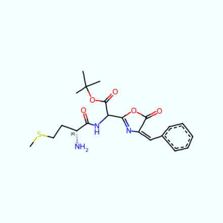 CSCC[C@@H](N)C(=O)NC(C(=O)OC(C)(C)C)C1=NC(=Cc2ccccc2)C(=O)O1